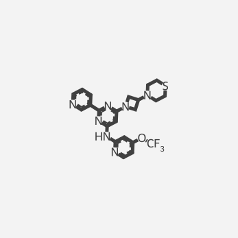 FC(F)(F)Oc1ccnc(Nc2cc(N3CC(N4CCSCC4)C3)nc(-c3cccnc3)n2)c1